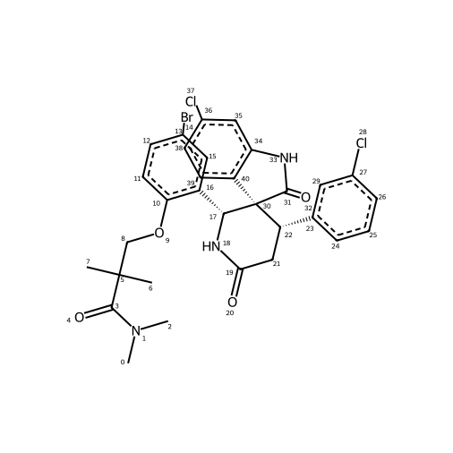 CN(C)C(=O)C(C)(C)COc1ccc(Br)cc1[C@H]1NC(=O)C[C@@H](c2cccc(Cl)c2)[C@]12C(=O)Nc1cc(Cl)ccc12